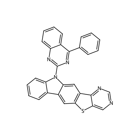 c1ccc(-c2nc(-n3c4ccccc4c4cc5sc6cncnc6c5cc43)nc3ccccc23)cc1